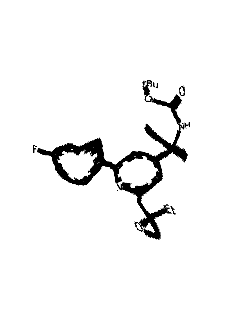 CCC1(c2cc(C(C)(C)NC(=O)OC(C)(C)C)cc(-c3ccc(F)cc3)n2)CO1